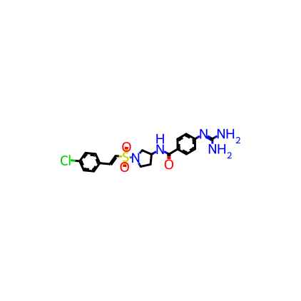 NC(N)=Nc1ccc(C(=O)NC2CCN(S(=O)(=O)/C=C/c3ccc(Cl)cc3)C2)cc1